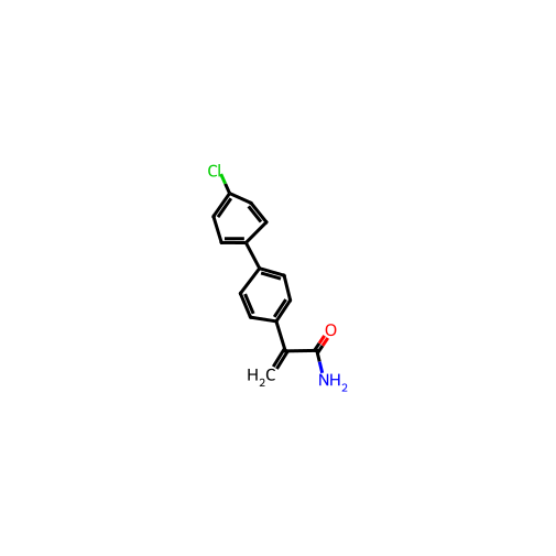 C=C(C(N)=O)c1ccc(-c2ccc(Cl)cc2)cc1